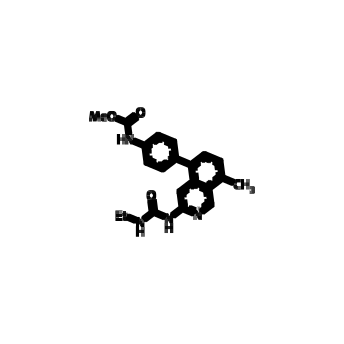 CCNC(=O)Nc1cc2c(-c3ccc(NC(=O)OC)cc3)ccc(C)c2cn1